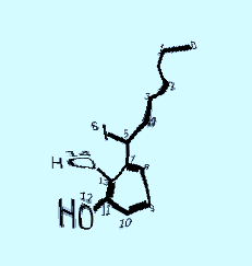 CCCCCC(I)c1cccc(O)c1O